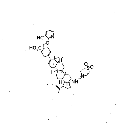 C=C(C)C1CC[C@]2(NCCN3CCS(=O)(=O)CC3)CC[C@]3(C)[C@H](CC[C@@H]4[C@@]5(C)CC=C(C6=CCC(COc7ncccc7C#N)(C(=O)O)CC6)C(C)(C)[C@@H]5CC[C@]43C)[C@@H]12